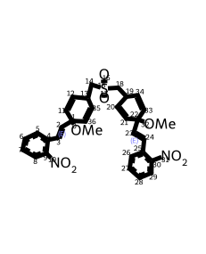 COC1(/C=C/c2ccccc2[N+](=O)[O-])C=CC(CS(=O)(=O)CC2C=CC(/C=C/c3ccccc3[N+](=O)[O-])(OC)C=C2)C=C1